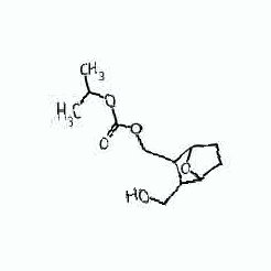 CC(C)OC(=O)OCC1C2CCC(O2)C1CO